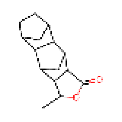 CC1OC(=O)C2C3CC(C12)C1C2CCC(C2)C31